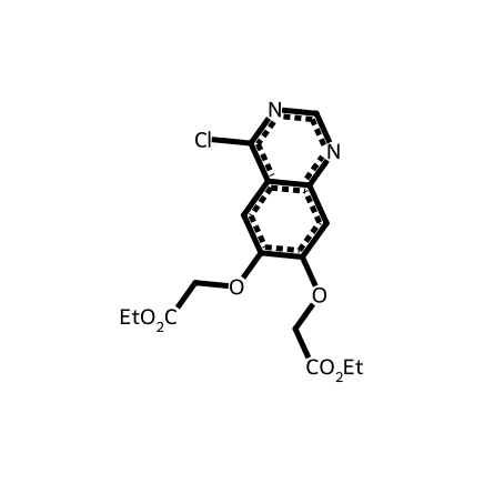 CCOC(=O)COc1cc2ncnc(Cl)c2cc1OCC(=O)OCC